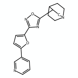 c1cncc(-c2ccc(-c3noc(C4CN5CCC4CC5)n3)o2)c1